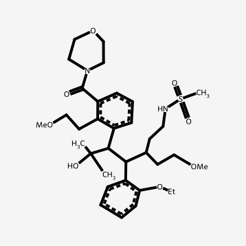 CCOc1ccccc1C([C](c1cccc(C(=O)N2CCOCC2)c1CCOC)C(C)(C)O)C(CCNS(C)(=O)=O)CCOC